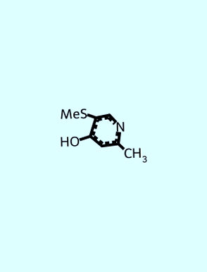 CSc1cnc(C)cc1O